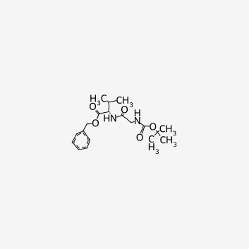 CC(C)[C@H](NC(=O)CNC(=O)OC(C)(C)C)C(=O)OCc1ccccc1